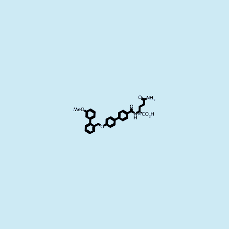 COc1cccc(-c2ccccc2COc2ccc(-c3ccc(C(=O)N[C@@H](CCC(N)=O)C(=O)O)cc3)cc2)c1